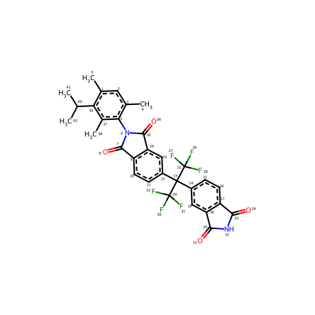 Cc1cc(C)c(N2C(=O)c3ccc(C(c4ccc5c(c4)C(=O)NC5=O)(C(F)(F)F)C(F)(F)F)cc3C2=O)c(C)c1C(C)C